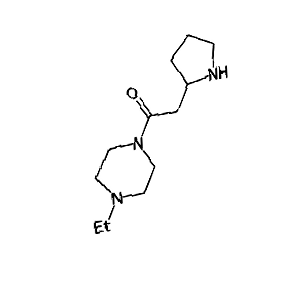 CCN1CCN(C(=O)CC2CCCN2)CC1